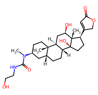 CN(C(=O)NCCO)[C@H]1CC[C@@]2(C)[C@H](CC[C@@H]3[C@@H]2C[C@@H](O)[C@]2(C)[C@@H](C4=CC(=O)OC4)CC[C@]32O)C1